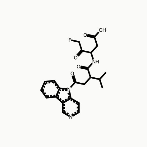 CC(C)C(CC(=O)n1c2ccccc2c2cnccc21)C(=O)NC(CC(=O)O)C(=O)CF